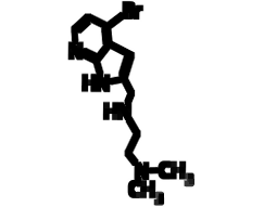 CN(C)CCNCc1cc2c(Br)ccnc2[nH]1